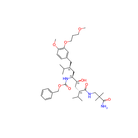 COCCCOc1cc(C[C@@H](C[C@H](NC(=O)OCc2ccccc2)[C@@H](O)C[C@H](C(=O)NCC(C)(C)C(N)=O)C(C)C)C(C)C)ccc1OC